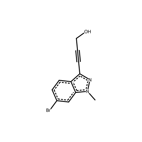 Cn1nc(C#CCO)c2ccc(Br)cc21